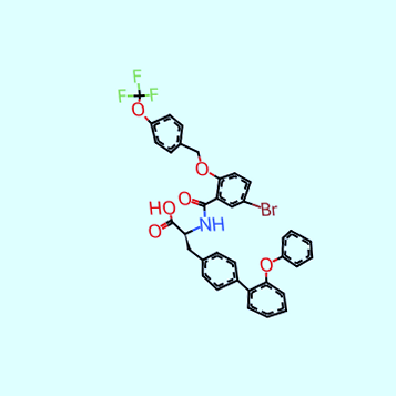 O=C(N[C@@H](Cc1ccc(-c2ccccc2Oc2ccccc2)cc1)C(=O)O)c1cc(Br)ccc1OCc1ccc(OC(F)(F)F)cc1